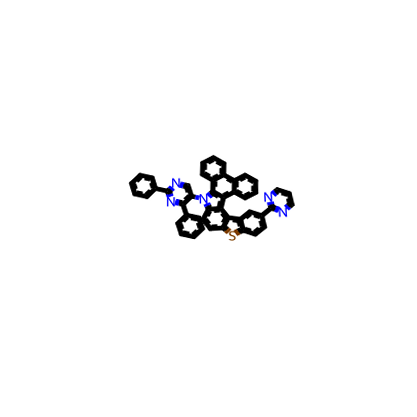 c1ccc(-c2ncc(-n3c4ccc5sc6ccc(-c7ncccn7)cc6c5c4c4c5ccccc5c5ccccc5c43)c(-c3ccccc3)n2)cc1